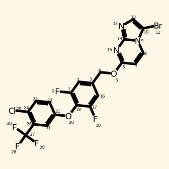 Fc1cc(COc2ccn3c(Br)cnc3n2)cc(F)c1Oc1ccc(Cl)c(C(F)(F)F)c1